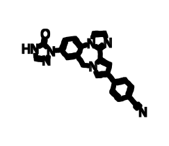 N#Cc1ccc(-c2cc3n(c2)Cc2cc(-n4nc[nH]c4=O)ccc2-n2ccnc2-3)cc1